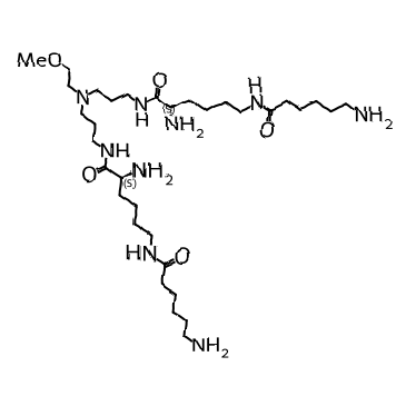 COCCN(CCCNC(=O)[C@@H](N)CCCCNC(=O)CCCCCN)CCCNC(=O)[C@@H](N)CCCCNC(=O)CCCCCN